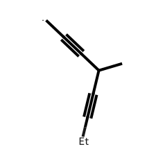 [CH2]C#CC(C)C#CCC